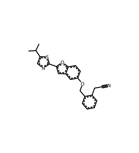 CC(C)c1cnc(-c2cc3cc(OCc4ccccc4CC#N)ccc3o2)s1